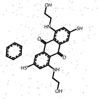 O=C1c2cc(S)cc(NCCO)c2C(=O)c2cc(S)cc(NCCO)c21.c1ccccc1